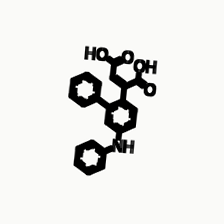 O=C(O)C=C(C(=O)O)c1ccc(Nc2ccccc2)cc1-c1ccccc1